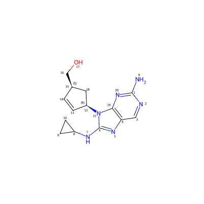 Nc1ncc2nc(NC3CC3)n([C@H]3C=C[C@@H](CO)C3)c2n1